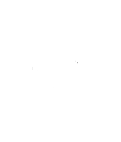 CCN1CCC2(CC1)CC2(C)CC